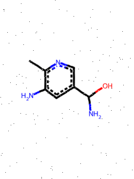 Cc1ncc(C(N)O)cc1N